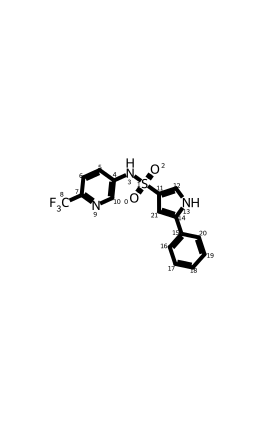 O=S(=O)(Nc1ccc(C(F)(F)F)nc1)c1c[nH]c(-c2ccccc2)c1